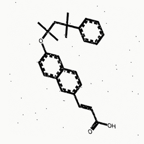 CC(C)(CC(C)(C)c1ccccc1)Oc1ccc2cc(/C=C/C(=O)O)ccc2c1